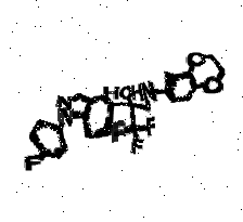 OC(CNc1ccc2c(c1)OCCO2)(c1ccc2c(cnn2-c2ccc(F)cc2)c1)C(F)(F)F